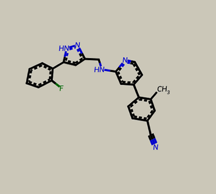 Cc1cc(C#N)ccc1-c1ccnc(NCc2cc(-c3ccccc3F)[nH]n2)c1